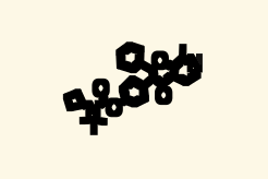 Cc1nccc2c(=O)c(-c3ccc(OC(=O)N(C4CCC4)C(C)(C)C)cc3)c(-c3ccccc3)oc12